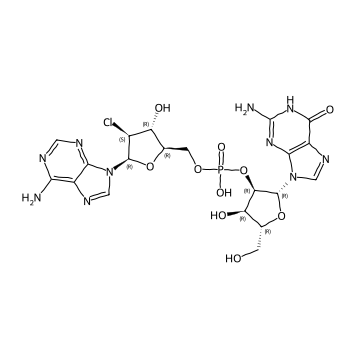 Nc1nc2c(ncn2[C@@H]2O[C@H](CO)[C@@H](O)[C@H]2OP(=O)(O)OC[C@H]2O[C@@H](n3cnc4c(N)ncnc43)[C@@H](Cl)[C@@H]2O)c(=O)[nH]1